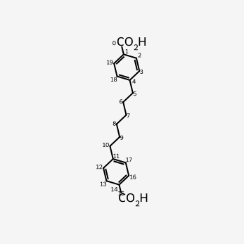 O=C(O)c1ccc(CCCCCCc2ccc(C(=O)O)cc2)cc1